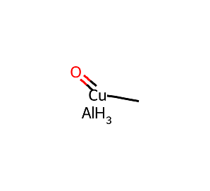 [AlH3].[CH3][Cu]=[O]